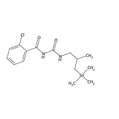 CC(CNC(=O)NC(=O)c1ccccc1Cl)[CH2][Sn]([CH3])([CH3])[CH3]